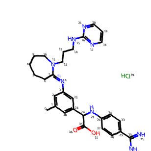 Cc1cc(/N=C2\CCCCCN2CCCNc2ncccn2)cc(C(Nc2ccc(C(=N)N)cc2)C(=O)O)c1.Cl